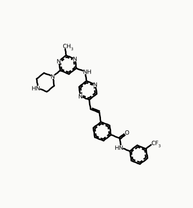 Cc1nc(Nc2cnc(/C=C/c3cccc(C(=O)Nc4cccc(C(F)(F)F)c4)c3)cn2)cc(N2CCNCC2)n1